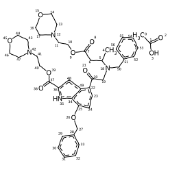 CC(=O)O.CC(CC(=O)OCCN1CCOCC1)N(CC(=O)c1ccc(OCc2ccccc2)c2[nH]c(C(=O)OCCN3CCOCC3)cc12)Cc1ccccc1